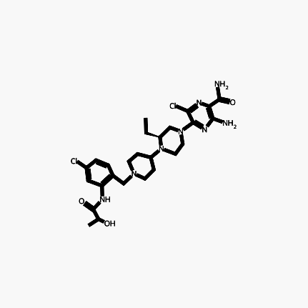 CC[C@H]1CN(c2nc(N)c(C(N)=O)nc2Cl)CCN1C1CCN(Cc2ccc(Cl)cc2NC(=O)C(C)O)CC1